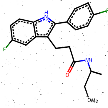 COCC(C)NC(=O)CCc1c(-c2ccc(F)cc2)[nH]c2ccc(F)cc12